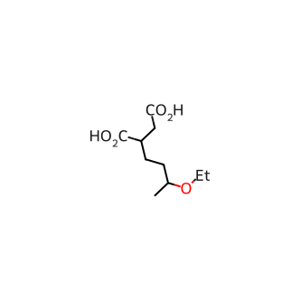 CCOC(C)CCC(CC(=O)O)C(=O)O